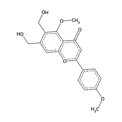 COc1ccc(-c2cc(=O)c3c(OC)c(CO)c(CO)cc3o2)cc1